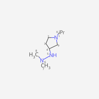 CC(C)N1CCC(NN(C)C)C1